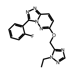 CCn1ncnc1COc1ccc2nnc(-c3ccccc3F)n2n1